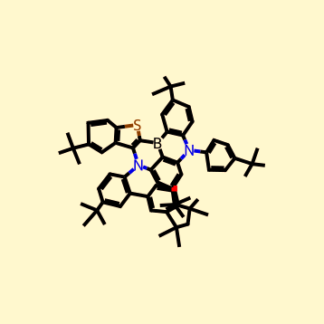 CC(C)(C)c1ccc(N2c3ccc(C(C)(C)C)cc3B3c4sc5ccc(C(C)(C)C)cc5c4N(c4ccc(C(C)(C)C)cc4-c4ccc5c(c4)C(C)(C)CC5(C)C)c4cc(C(C)(C)C)cc2c43)cc1